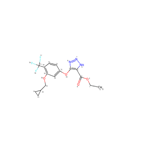 CCOC(=O)c1[nH]nnc1Oc1ccc(C(F)(F)F)c(OCC2CC2)c1